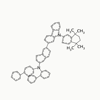 CC1(C)CCC(C)(C)c2cc(-n3c4ccccc4c4ccc(-c5ccc6cc(N(c7ccc(-c8ccccc8)cc7)c7ccccc7-c7ccccc7)ccc6c5)cc43)ccc21